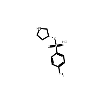 Cc1ccc(S(=O)(=O)O[C@@H]2CCNC2)cc1.Cl